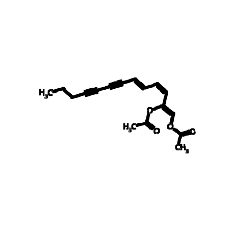 CCCC#CC#C/C=C/C=C\C(=C\OC(C)=O)OC(C)=O